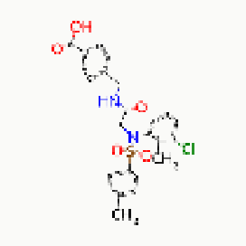 Cc1ccc(S(=O)(=O)N(CC(=O)NCc2ccc(C(=O)O)cc2)c2cccc(Cl)c2C)cc1